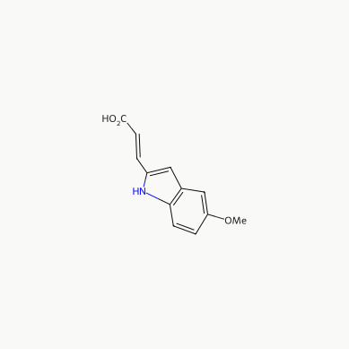 COc1ccc2[nH]c(C=CC(=O)O)cc2c1